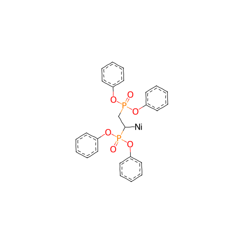 O=P(C[CH]([Ni])P(=O)(Oc1ccccc1)Oc1ccccc1)(Oc1ccccc1)Oc1ccccc1